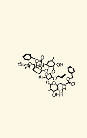 C=CCO[C@H]1[C@H](O[C@@H]2[C@@H](O)[C@H](C)C[C@H](NC(=O)OCc3ccccc3)[C@H]2O[C@H]2O[C@H](CO[Si](C)(C)C(C)(C)C)CC[C@H]2C)O[C@H](CC)[C@H]1O[C@H]1O[C@@H](CNC(=O)OCc2ccccc2)[C@@H](O)[C@H](O)[C@H]1C